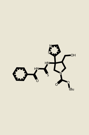 CC(C)(C)OC(=O)N1CC(CO)C(NC(=S)NC(=O)c2ccccc2)(c2ccns2)C1